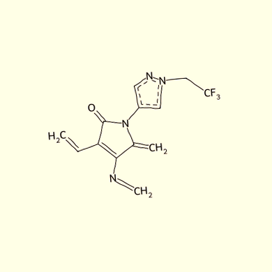 C=CC1=C(N=C)C(=C)N(c2cnn(CC(F)(F)F)c2)C1=O